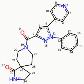 O=C(c1cc(-c2ccncc2)n(-c2ccccc2)n1)N1CCC2(CCNC2=O)CC1